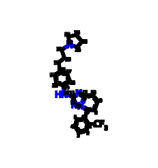 FC(F)(F)c1ccccc1-c1cccc2nc(Nc3ccc(CCCN4CCCC4)cc3)nn12